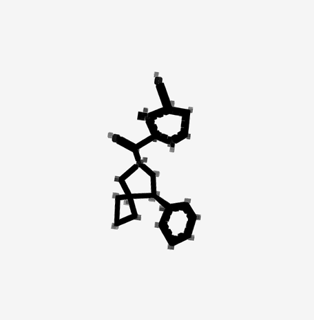 O=C(c1nccc(=O)[nH]1)N1C[C@@H](c2ccccc2)C2(CCC2)C1